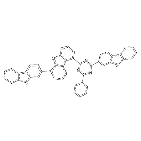 c1ccc(-c2nc(-c3ccc4c(c3)sc3ccccc34)nc(-c3cccc4oc5c(-c6ccc7c(c6)sc6ccccc67)cccc5c34)n2)cc1